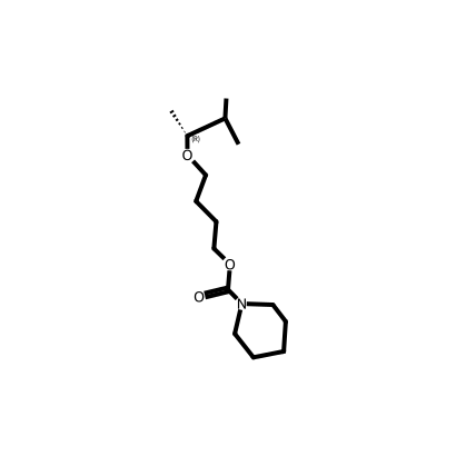 CC(C)[C@@H](C)OCCCCOC(=O)N1CCCCC1